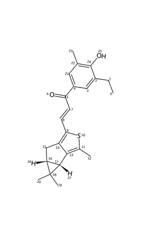 CCc1cc(C(=O)C=Cc2sc(C)c3c2C[C@@H]2[C@H]3C2(C)C)cc(C)c1O